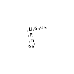 [Ge].[Li].[P].[S].[Se].[Ti]